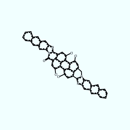 O=c1c2cc(Cl)c3c4c(Cl)cc5c6c(cc(Cl)c(c7c(Cl)cc(c2c37)c2nc3cc7cc8ccccc8cc7cc3n12)c64)Cn1c-5nc2cc3cc4ccccc4cc3cc21